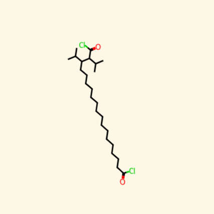 CC(C)C(CCCCCCCCCCCCCCCC(=O)Cl)C(C(=O)Cl)C(C)C